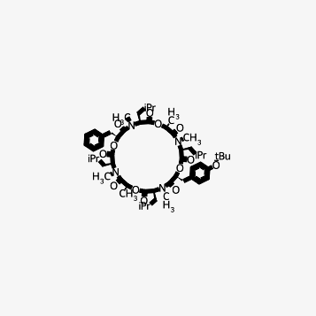 CC(C)C[C@H]1C(=O)O[C@H](Cc2ccc(OC(C)(C)C)cc2)C(=O)N(C)[C@@H](CC(C)C)C(=O)O[C@H](C)C(=O)N(C)[C@@H](CC(C)C)C(=O)O[C@H](Cc2ccccc2)C(=O)N(C)[C@@H](CC(C)C)C(=O)O[C@H](C)C(=O)N1C